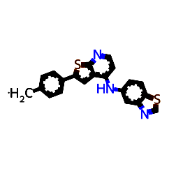 [CH2]c1ccc(-c2cc3c(Nc4ccc5scnc5c4)ccnc3s2)cc1